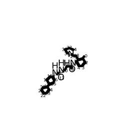 Cc1cccc(NC(=O)CCNC(=O)Nc2ccc(-c3ccccc3)cc2)c1CCN1CCCC1